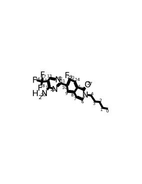 CCCCCn1ccc2cc(-c3ncc(C(F)(F)F)c(N)n3)c(F)cc2c1=O